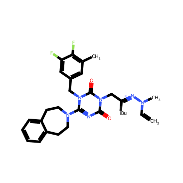 C=CN(C)/N=C(/Cn1c(=O)nc(N2CCc3ccccc3CC2)n(Cc2cc(C)c(F)c(F)c2)c1=O)C(C)CC